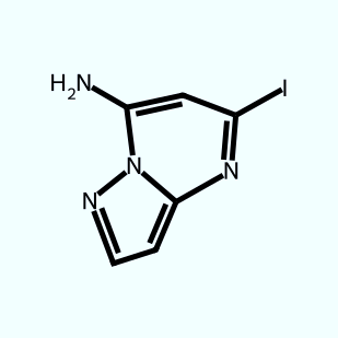 Nc1cc(I)nc2ccnn12